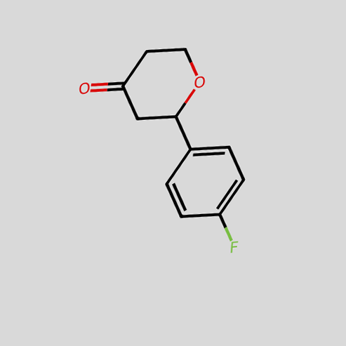 O=C1CCOC(c2ccc(F)cc2)C1